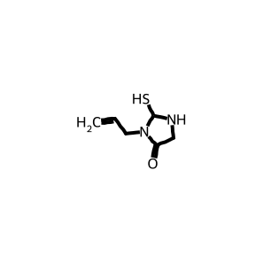 C=CCN1C(=O)CNC1S